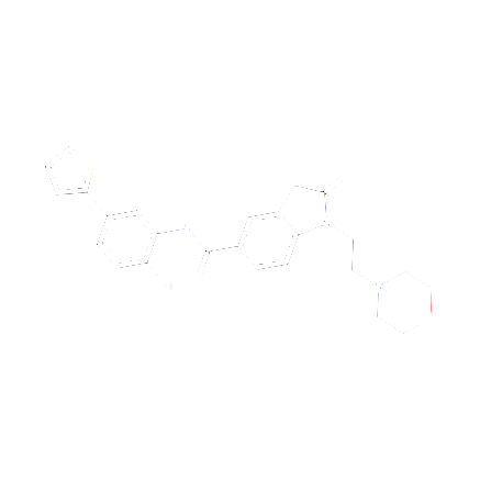 Nc1ccc(-c2cccs2)cc1NC(=O)c1ccc2c(c1)CC(=O)N2CCN1CCOCC1